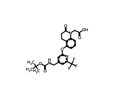 CC(C)(C)OC(=O)NCc1cc(Oc2cccc3c2CCC(=O)N3CC(=O)O)nc(C(F)(F)F)c1